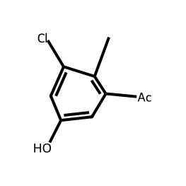 CC(=O)c1cc(O)cc(Cl)c1C